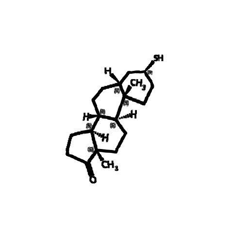 C[C@]12CC[C@H](S)C[C@H]1CC[C@@H]1[C@@H]2CC[C@]2(C)C(=O)CC[C@@H]12